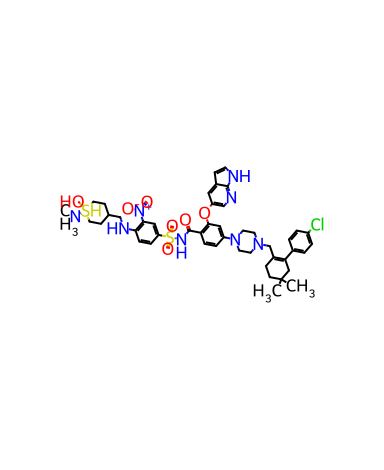 CN=[SH]1(O)CCC(CNc2ccc(S(=O)(=O)NC(=O)c3ccc(N4CCN(CC5=C(c6ccc(Cl)cc6)CC(C)(C)CC5)CC4)cc3Oc3cnc4[nH]ccc4c3)cc2[N+](=O)[O-])CC1